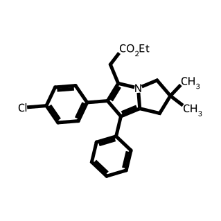 CCOC(=O)Cc1c(-c2ccc(Cl)cc2)c(-c2ccccc2)c2n1CC(C)(C)C2